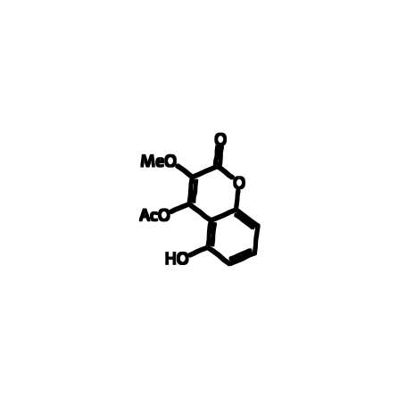 COc1c(OC(C)=O)c2c(O)cccc2oc1=O